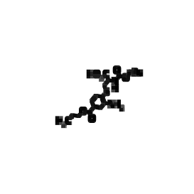 C=CCOC(=O)c1ccc(SC[C@H](NC(=O)OCCCC)C(=O)O)c(N)c1